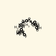 C[C@H](Oc1cc(-c2nn(C)c3c(-c4cnn(C5CCN(C(=O)[C@H]6C[C@H](N(C)c7cccc8c7C(=O)N(C7CCC(=O)NC7=O)C8=O)C6)CC5)c4)cnc(N)c23)ccc1NS(=O)(=O)C(F)F)c1ccc(F)cc1